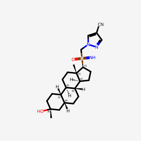 C[C@@]1(O)CC[C@H]2[C@H](CC[C@@H]3[C@@H]2CC[C@@]2(C)[C@H]3CC[C@@H]2S(=N)(=O)Cn2cc(C#N)cn2)C1